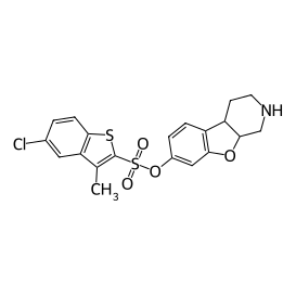 Cc1c(S(=O)(=O)Oc2ccc3c(c2)OC2CNCCC32)sc2ccc(Cl)cc12